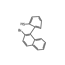 Sc1ccccc1-c1c(Br)ccc2ccccc12